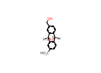 O=C(O)c1ccc2c(c1)[C@H]1O[C@@H]2c2ccc(CO)cc21